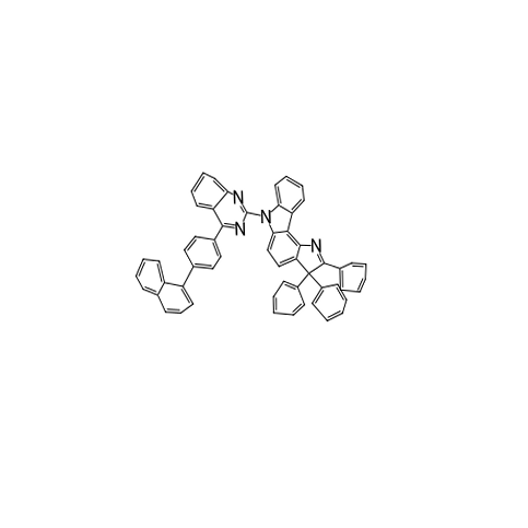 c1ccc(C2=Nc3c(ccc4c3c3ccccc3n4-c3nc(-c4ccc(-c5cccc6ccccc56)cc4)c4ccccc4n3)C2(c2ccccc2)c2ccccc2)cc1